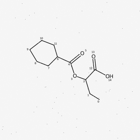 CCC(OC(=O)C1CCCCC1)C(=O)O